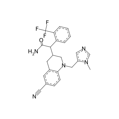 Cn1cncc1CN1CC(C(C(N)=O)c2ccccc2C(F)(F)F)Cc2cc(C#N)ccc21